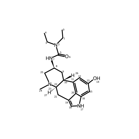 CCN(CC)C(=O)N[C@H]1C[C@@H]2c3cc(O)cc4[nH]cc(c34)C[C@H]2N(C)C1